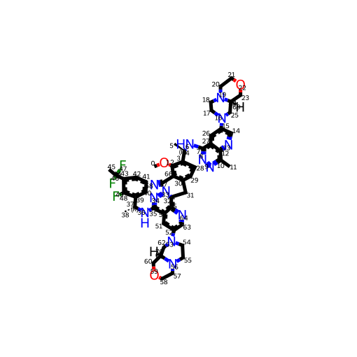 COc1c([C@@H](C)Nc2nnc(C)c3ncc(N4CCN5CCOC[C@@H]5C4)cc23)ccc(Cc2nnc(N[C@H](C)c3cccc(C(C)(F)F)c3F)c3cc(N4CCN5CCOC[C@@H]5C4)cnc23)c1C#N